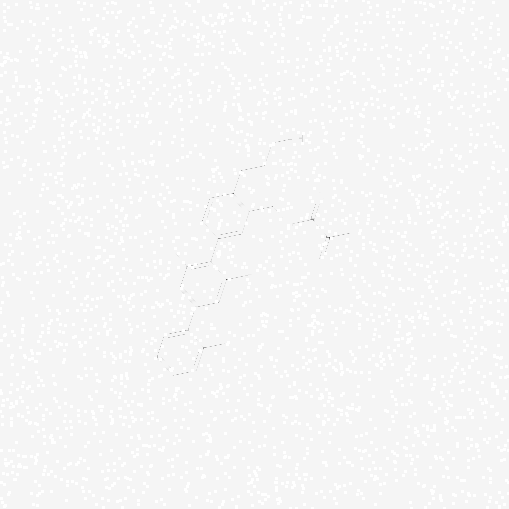 C=C(C)C(=O)OCc1cc(-c2c(F)cc(-c3ccccc3F)cc2F)ccc1CCCO